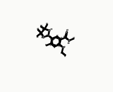 CCOc1cc(C)c(B2OC(C)(C)C(C)(C)O2)cc1C(=O)OC